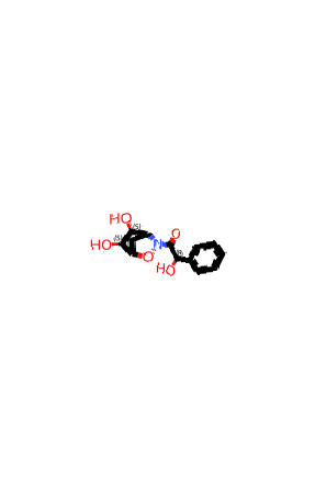 O=C([C@H](O)c1ccccc1)N1OC2CC1[C@H](O)[C@@H]2O